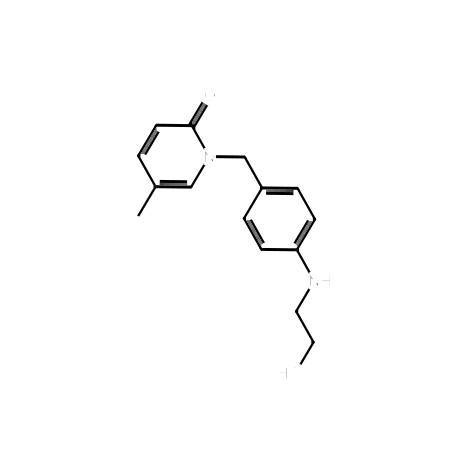 Cc1ccc(=O)n(Cc2ccc(NCCO)cc2)c1